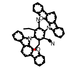 CCc1c(C#N)c(-n2c3ccccc3c3ccc4c5ccccc5oc4c32)c(C#N)c(CC)c1-n1c2ccccc2c2ccc3c4ccccc4oc3c21